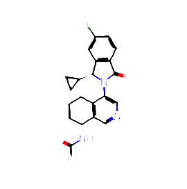 CC(=O)N[C@@H]1CCCc2c1cncc2N1C(=O)c2ccc(Cl)cc2[C@@H]1C1CC1